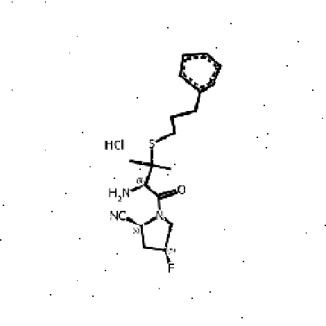 CC(C)(SCCCc1ccccc1)[C@H](N)C(=O)N1C[C@@H](F)C[C@H]1C#N.Cl